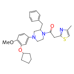 COc1ccc(N2CCN(C(=O)Cc3nc(C)cs3)C(Cc3ccccc3)C2)cc1OC1CCCC1